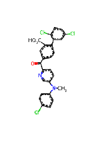 CN(c1ccc(Cl)cc1)c1ccc(C(=O)c2ccc(-c3cc(Cl)ccc3Cl)c(C(=O)O)c2)nc1